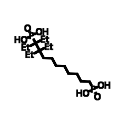 CCC(CC)(CCCCCCCCP(=O)(O)O)C(CC)(CC)P(=O)(O)O